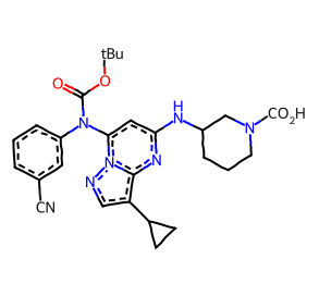 CC(C)(C)OC(=O)N(c1cccc(C#N)c1)c1cc(NC2CCCN(C(=O)O)C2)nc2c(C3CC3)cnn12